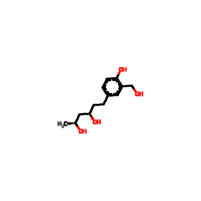 C[C@H](O)C[C@H](O)CCc1ccc(O)c(CO)c1